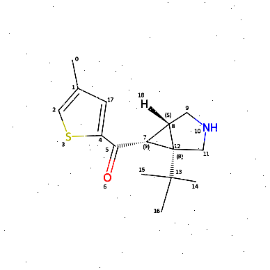 Cc1csc(C(=O)[C@@H]2[C@@H]3CNC[C@@]23C(C)(C)C)c1